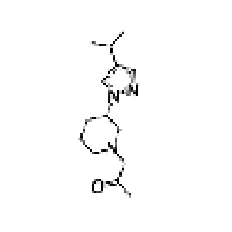 CC(=O)CN1CCCC(n2cc(C(C)C)cn2)C1